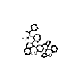 CC(c1ccccc1)N(N)c1ccccc1-c1ccc2ccccc2c1-c1cc2c(cc1N)C1(c3ccccc3Oc3ccccc31)c1ccccc1-2